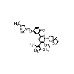 CNC[C@@H](O)COc1ccc(Cl)c(-c2nc(-c3c(C)noc3C)c(C)c(N3CCC4(C3)OCCO4)n2)c1